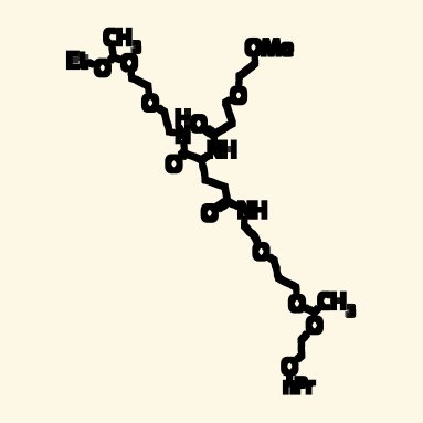 CCCOCCOC(C)OCCCOCCNC(=O)CCC(NC(=O)CCOCCOC)C(=O)NCCOCCOC(C)OCC